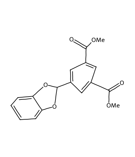 COC(=O)c1cc(C(=O)OC)cc(C2Oc3ccccc3O2)c1